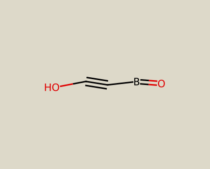 O=BC#CO